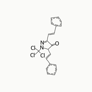 O=C1C(C=Cc2ccccc2)=NN(C(Cl)(Cl)Cl)C1C=Cc1ccccc1